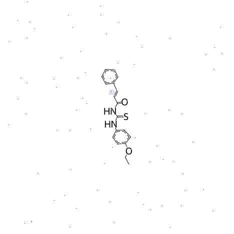 CCOc1ccc(NC(=S)NC(=O)/C=C/c2ccccc2)cc1